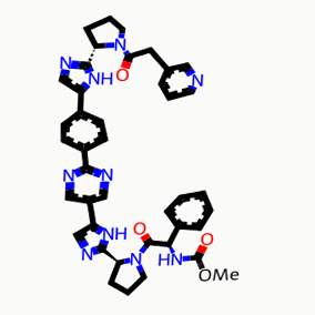 COC(=O)N[C@@H](C(=O)N1CCC[C@H]1c1ncc(-c2cnc(-c3ccc(-c4cnc([C@@H]5CCCN5C(=O)Cc5cccnc5)[nH]4)cc3)nc2)[nH]1)c1ccccc1